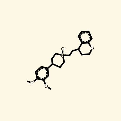 COc1ccc(C2CC[N+]([O-])(CCC3CCOc4ccccc43)CC2)cc1OC